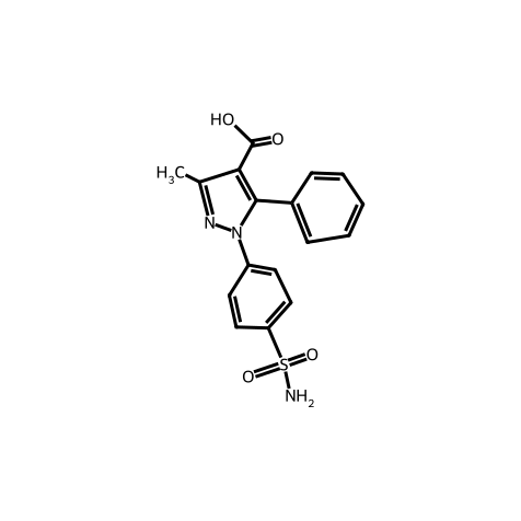 Cc1nn(-c2ccc(S(N)(=O)=O)cc2)c(-c2ccccc2)c1C(=O)O